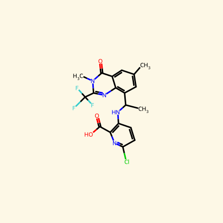 Cc1cc(C(C)Nc2ccc(Cl)nc2C(=O)O)c2nc(C(F)(F)F)n(C)c(=O)c2c1